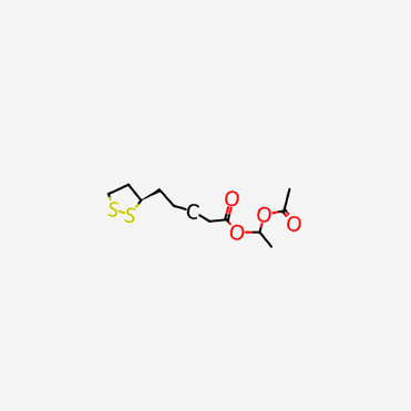 CC(=O)OC(C)OC(=O)CCCC[C@@H]1CCSS1